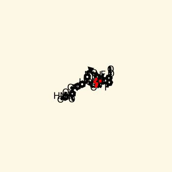 COCOc1cc(-c2ncc3c(N4CCOCC(C)(O)C4)nc(OCC4(CN5CCN(CC6CCC7(CC6)CCN(C(=O)c6ccc(OC)c(N8CCC(=O)NC8=O)c6)CC7)CC5)CC4)nc3c2F)c2c(C#C[Si](C(C)C)(C(C)C)C(C)C)c(F)ccc2c1